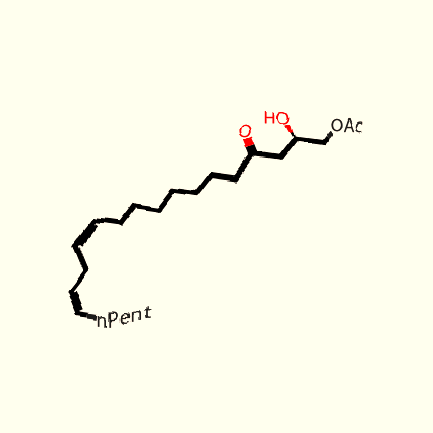 CCCCC/C=C\C/C=C\CCCCCCCC(=O)C[C@@H](O)COC(C)=O